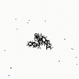 Cc1cc2cn(CC(F)F)nc2cc1N(CC(=O)O)CC(=O)N(C)N1Cc2ccccc2C1